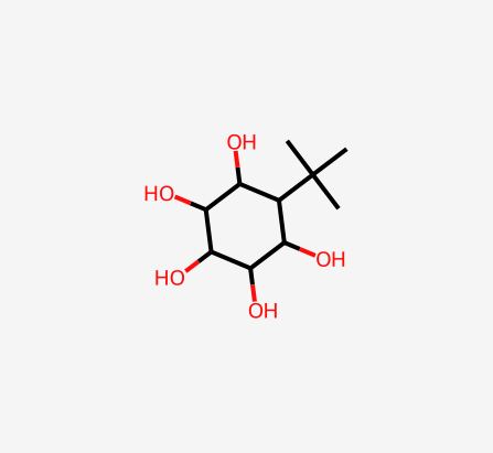 CC(C)(C)C1C(O)C(O)C(O)C(O)C1O